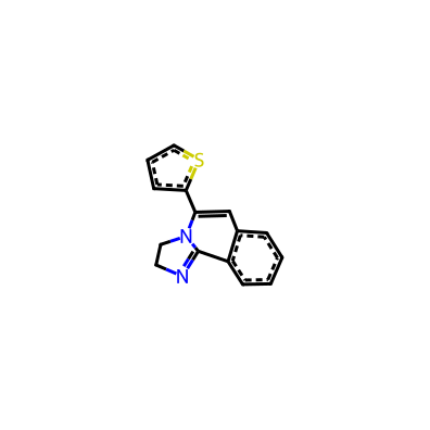 C1=C(c2cccs2)N2CCN=C2c2ccccc21